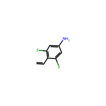 C=Cc1c(F)cc(N)cc1F